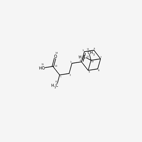 CC(CCC1=CCC2CC1C2(C)C)C(=O)O